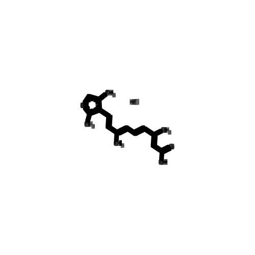 CC(C=Cc1c(C)coc1C)=CC=CC(C)=CC(=O)O.Cl